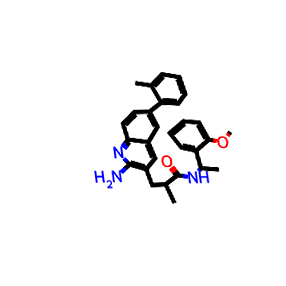 COc1ccccc1C(C)NC(=O)C(C)Cc1cc2cc(-c3ccccc3C)ccc2nc1N